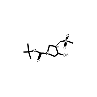 CC(C)(C)OC(=O)N1CC(O)[C@@H](CS(C)(=O)=O)C1